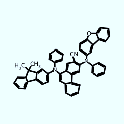 CC1(C)c2ccccc2-c2ccc(N(c3ccccc3)c3cc4ccccc4c4cc(N(c5ccccc5)c5ccc6oc7ccccc7c6c5)c(C#N)cc34)cc21